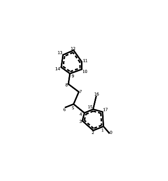 Cc1ccc(C(C)CCc2ccccc2)c(C)c1